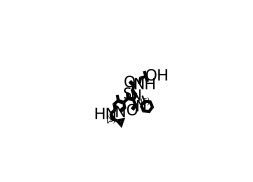 Cc1cc(N[C@@H](C)C2CC2)ncc1-c1sc(C(=O)NCC(C)(C)O)nc1C(=O)N1CCCC[C@@H]1C